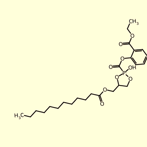 CCCCCCCCCCCC(=O)OCC1CO[P](O)(C(=O)Oc2ccccc2C(=O)OCC)O1